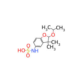 CC(C)OC1Oc2ccc(NS(=O)(=O)O)cc2C1(C)C